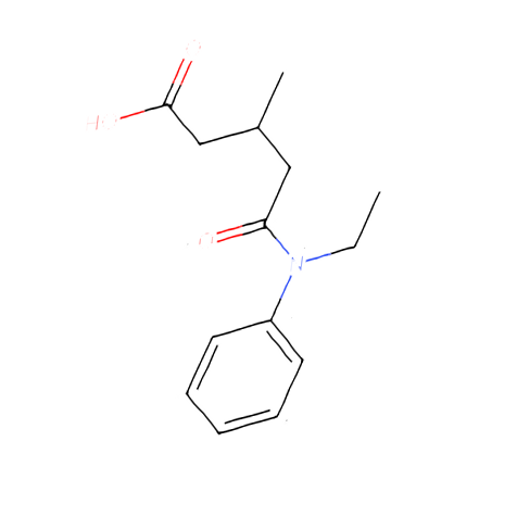 CCN(C(=O)CC(C)CC(=O)O)c1ccccc1